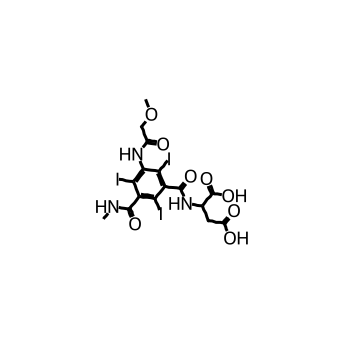 CNC(=O)c1c(I)c(NC(=O)COC)c(I)c(C(=O)NC(CC(=O)O)C(=O)O)c1I